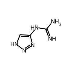 N=C(N)Nc1c[nH]nn1